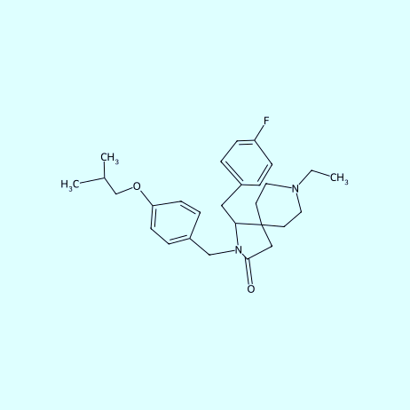 CCN1CCC2(CC1)CC(=O)N(Cc1ccc(OCC(C)C)cc1)C2Cc1ccc(F)cc1